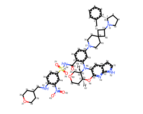 Cc1ccccc1[C@@H]1CCCN1C1CC2(CCN(c3ccc(C(=O)NS(=O)(=O)c4ccc(NCC5CCOCC5)c([N+](=O)[O-])c4)c(N4c5cc6cc[nH]c6nc5O[C@H]5CCOC[C@@H]54)c3)CC2)C1